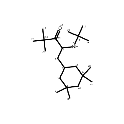 CC1(C)CC(CC(NC(C)(C)C)C(=O)C(C)(C)C)CC(C)(C)C1